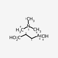 CC(=O)CCC(=O)O.CN(C)C.Cl